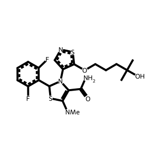 CNC1=C(C(N)=O)N(c2cnsc2OCCCC(C)(C)O)C(c2c(F)cccc2F)S1